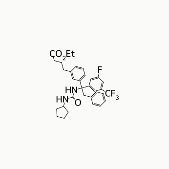 CCOC(=O)CCCc1cccc(C(Cc2ccccc2)(NC(=O)NC2CCCC2)c2cc(F)cc(C(F)(F)F)c2)c1